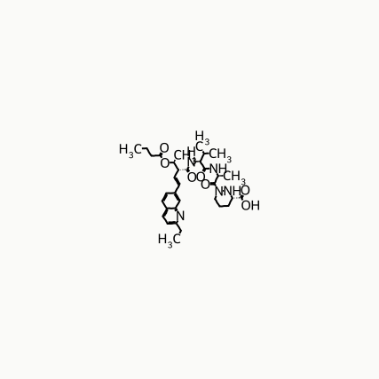 CCCC(=O)O[C@@H](C)[C@@H](/C=C/c1ccc2ccc(CC)nc2c1)C(=O)N[C@H](C(=O)N[C@@H](C)C(=O)N1CCC[C@@H](C(=O)O)N1)C(C)C